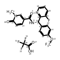 Cn1cc(C(=O)N[C@@H](c2ccc(OC(F)(F)F)cc2)c2ncccc2F)ccc1=O.O=C(O)C(F)(F)F